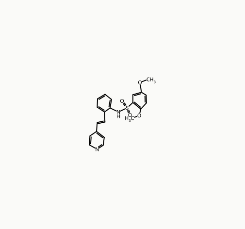 COc1ccc(OC)c(S(=O)(=O)Nc2ccccc2C=Cc2ccncc2)c1